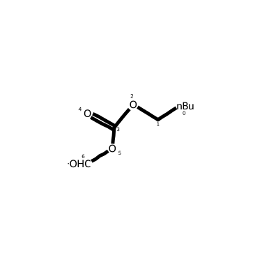 CCCCCOC(=O)O[C]=O